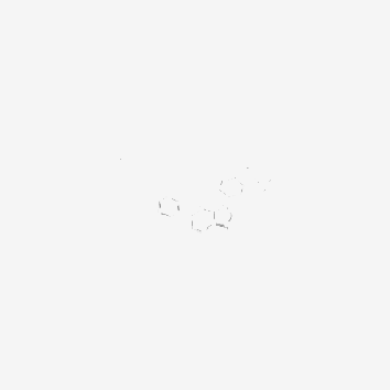 CS(=O)(=O)N1CCc2ccc(-n3cnc4ccc(-c5ccc(OCCCO)nc5)nc43)cc21